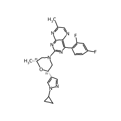 Cc1cnc2c(-c3ccc(F)cc3F)nc(N3C[C@@H](C)O[C@@H](c4cnn(C5CC5)c4)C3)nc2n1